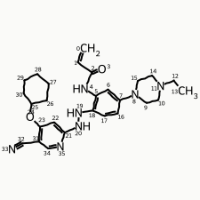 C=CC(=O)Nc1cc(N2CCN(CC)CC2)ccc1NNc1cc(OC2CCCCC2)c(C#N)cn1